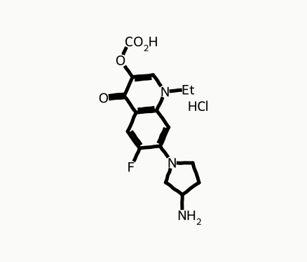 CCn1cc(OC(=O)O)c(=O)c2cc(F)c(N3CCC(N)C3)cc21.Cl